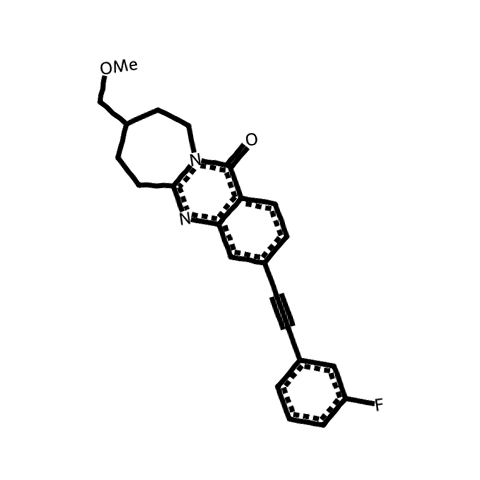 COCC1CCc2nc3cc(C#Cc4cccc(F)c4)ccc3c(=O)n2CC1